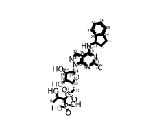 CC(O)C(P(=O)(O)O)S(=O)(=O)C[C@H]1O[C@@H](n2ncc3c(NC4CCc5ccccc54)nc(Cl)nc32)[C@H](O)[C@@H]1O